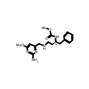 COc1cc(CNCC[C@H](Cc2ccccc2)NC(=O)OC(C)(C)C)nc(N)n1